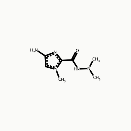 CN(C)NC(=O)c1nc(N)cn1C